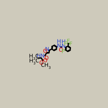 COC(=O)[C@@H](NC(=O)c1cc(-c2ccc(NC(=O)Nc3c(F)cccc3C(F)(F)F)cc2)no1)C(C)C